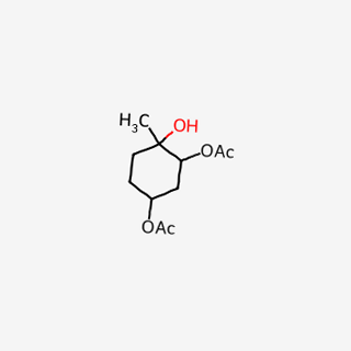 CC(=O)OC1CCC(C)(O)C(OC(C)=O)C1